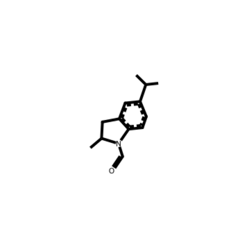 CC(C)c1ccc2c(c1)CC(C)N2C=O